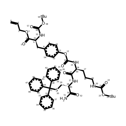 C=CCOC(=O)[C@H](Cc1ccc(OC(=O)N[C@@H](CCCNC(=O)OC(C)(C)C)C(=O)N[C@@H](CSC(c2ccccc2)(c2ccccc2)c2ccccc2)C(N)=O)cc1)NC(=O)OC(C)(C)C